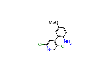 COc1ccc(N)c(-c2cc(Cl)ncc2Cl)c1